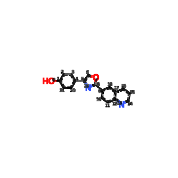 Oc1ccc(-c2coc(-c3ccc4ncccc4c3)n2)cc1